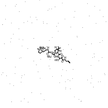 C=CCNC(=O)C(=O)C(CCC)NC(=O)[C@@H]1[C@@H]2[C@H](CN1C(=O)[C@@H](NC(=O)N[C@H](CN1CCN(C)S1(=O)=O)C(C)(C)C)C(C)(C)C)C2(C)C